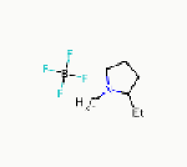 CCC1CCCN1C.F[B-](F)(F)F